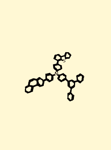 c1ccc(-c2cc(-c3ccccc3)cc(-c3ccc(N(c4ccc(-c5ccc6c(ccc7ccccc76)c5)cc4)c4ccc(-c5cccc6c5sc5ccccc56)cc4)cc3)c2)cc1